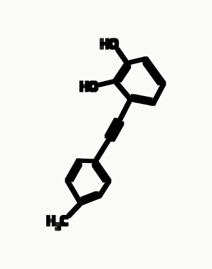 Cc1ccc(C#Cc2cccc(O)c2O)cc1